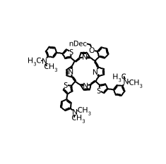 CCCCCCCCCCCOc1ccccc1C1=C2C=CC(=N2)C(c2cc(-c3cccc(N(C)C)c3)cs2)=C2C=CC(=N2)C(c2cc(-c3cccc(N(C)C)c3)cs2)=C2C=CC(=N2)C(c2cc(-c3cccc(N(C)C)c3)cs2)=C2C=CC1=N2